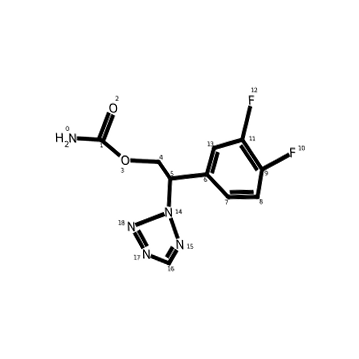 NC(=O)OCC(c1ccc(F)c(F)c1)n1ncnn1